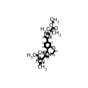 CCOC(=O)C(C)(C)n1ncc(-c2ccc3c(c2)OCCn2cc(-c4nc(C)nn4C(C)C)nc2-3)n1